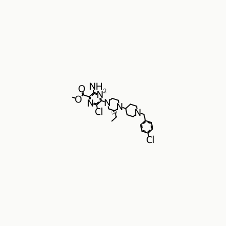 CC[C@H]1CN(c2nc(N)c(C(=O)OC)nc2Cl)CCN1C1CCN(Cc2ccc(Cl)cc2)CC1